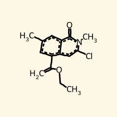 C=C(OCC)c1cc(C)cc2c(=O)n(C)c(Cl)cc12